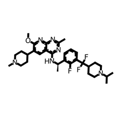 COc1nc2nc(C)nc(N[C@H](C)c3cccc(C(F)(F)C4CCN(C(C)C)CC4)c3F)c2cc1C1CCN(C)CC1